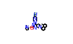 Cc1cccc2cccc(N3CCc4c(nc(OC[C@@H]5CCCN5C)nc4N4CC5CC(F)CC(C4)N5)C3)c12